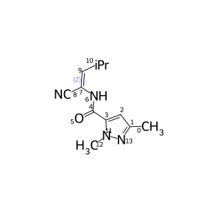 Cc1cc(C(=O)N/C(C#N)=C\C(C)C)n(C)n1